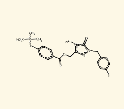 CCCn1c(COC(=O)c2ccc(SC(C)(C)C(=O)O)cc2)nn(Cc2ccc(F)cc2)c1=O